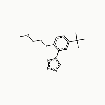 COCCOc1ccc(C(C)(C)C)cc1-n1cnnn1